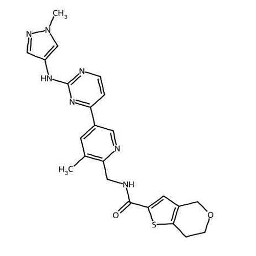 Cc1cc(-c2ccnc(Nc3cnn(C)c3)n2)cnc1CNC(=O)c1cc2c(s1)CCOC2